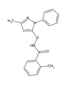 Cc1cc(ONC(=O)c2ccccc2C)n(-c2ccccc2)n1